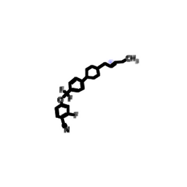 CC/C=C/CC1CCC(c2ccc(C(F)(F)Oc3ccc(C#N)c(F)c3)cc2)CC1